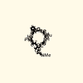 C/C=C(\C)[C@@H](OC(=O)N(C)CCNC)[C@@H](C)[C@@H]1C/C=C(\C)C(=O)O[C@H](CC(C)C)C(=O)N[C@@H](C)C(=O)N(C)[C@H](Cc2ccccc2)C(=O)N(C)CC(=O)N[C@@H]([C@H](C)CC)C(=O)N[C@H](C)C(=O)O1